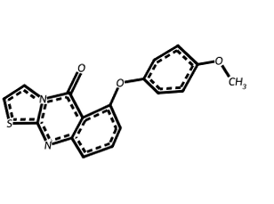 COc1ccc(Oc2cccc3nc4sccn4c(=O)c23)cc1